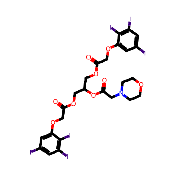 O=C(COc1cc(I)cc(I)c1I)OCC(COC(=O)COc1cc(I)cc(I)c1I)OC(=O)CN1CCOCC1